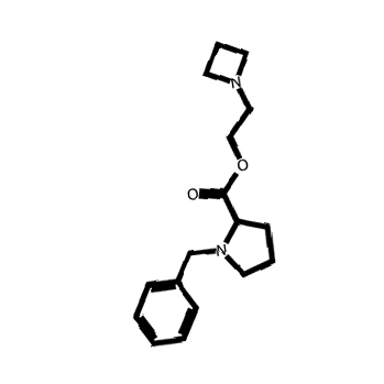 O=C(OCCN1CCC1)C1CCCN1Cc1ccccc1